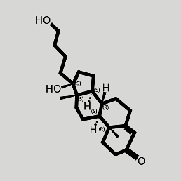 C[C@]12CCC(=O)C=C1CC[C@@H]1[C@@H]2CC[C@@]2(C)[C@H]1CC[C@@]2(O)CCCCO